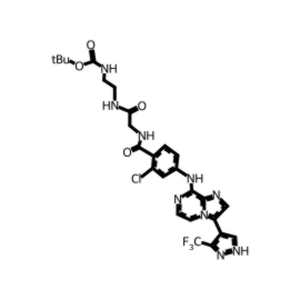 CC(C)(C)OC(=O)NCCNC(=O)CNC(=O)c1ccc(Nc2nccn3c(-c4c[nH]nc4C(F)(F)F)cnc23)cc1Cl